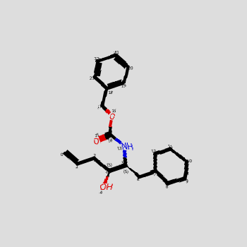 C=CC[C@H](O)[C@H](CC1CCCCC1)NC(=O)OCc1ccccc1